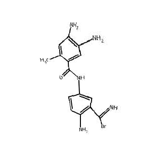 Cc1cc(N)c(N)cc1C(=O)Nc1ccc(N)c(C(=N)Br)c1